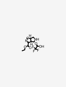 CCOC(=O)C1=NO[C@H]2CNC[C@@H]12.O=C(O)C(F)(F)F